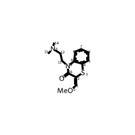 COC=C1Sc2ccccc2N(CCN(C)C)C1=O